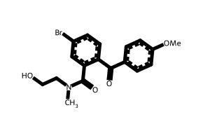 COc1ccc(C(=O)c2ccc(Br)cc2C(=O)N(C)CCO)cc1